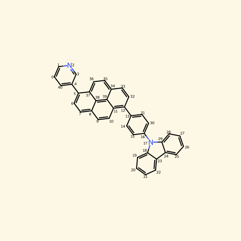 c1cncc(-c2ccc3ccc4c(-c5ccc(-n6c7ccccc7c7ccccc76)cc5)ccc5ccc2c3c54)c1